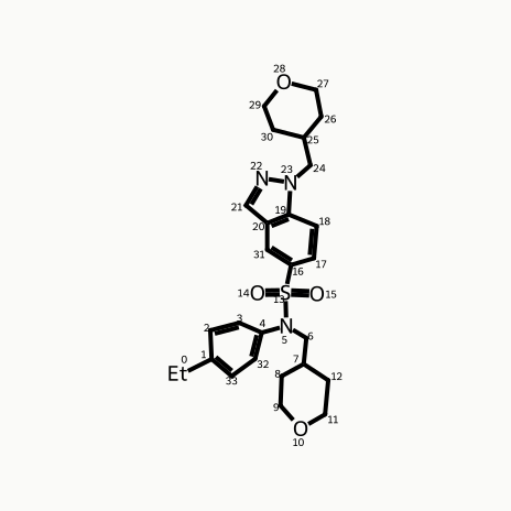 CCc1ccc(N(CC2CCOCC2)S(=O)(=O)c2ccc3c(cnn3CC3CCOCC3)c2)cc1